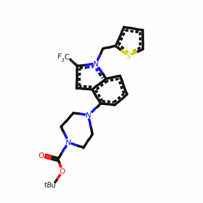 CC(C)(C)OC(=O)N1CCN(c2cccc3c2cc(C(F)(F)F)n3Cc2cccs2)CC1